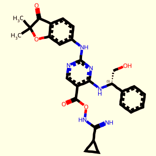 CC1(C)Oc2cc(Nc3ncc(C(=O)ONC(=N)C4CC4)c(N[C@H](CO)c4ccccc4)n3)ccc2C1=O